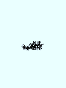 Cc1nnc2sc(C(=O)NC3CN(C=O)C3)c(N)c2c1C